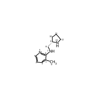 Cc1cccnc1NC[C@@H]1CCCN1